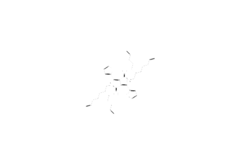 C=CCCCC(CCCC=C)CN1C(=O)C2=C(c3cccs3)N(CC(CCCC=C)CCCC=C)C(=O)C2=C1c1cccs1